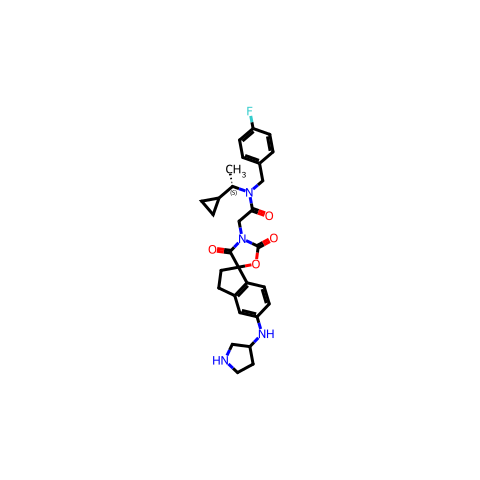 C[C@@H](C1CC1)N(Cc1ccc(F)cc1)C(=O)CN1C(=O)OC2(CCc3cc(NC4CCNC4)ccc32)C1=O